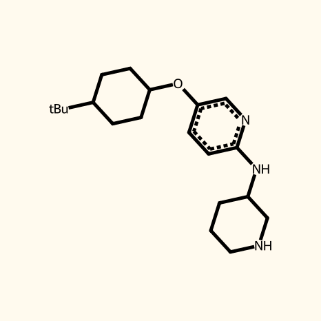 CC(C)(C)C1CCC(Oc2ccc(NC3CCCNC3)nc2)CC1